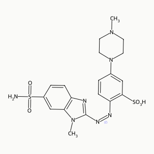 CN1CCN(c2ccc(/N=N\c3nc4ccc(S(N)(=O)=O)cc4n3C)c(S(=O)(=O)O)c2)CC1